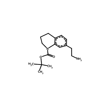 CC(C)(C)OC(=O)N1CCCc2ccc(CCN)cc21